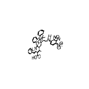 C/C(=C(/C=C/c1ccccc1)C(=O)O)C(CC(CCNc1ccc([N+](=O)[O-])c2nonc12)O[Si](c1ccccc1)(c1ccccc1)C(C)(C)C)C(N)=O